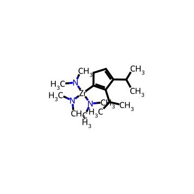 CC(C)C1=CC[C]([Zr]([N](C)C)([N](C)C)[N](C)C)=C1C(C)C